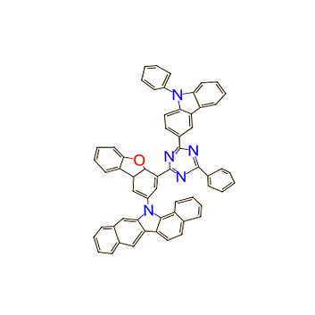 C1=C(c2nc(-c3ccccc3)nc(-c3ccc4c(c3)c3ccccc3n4-c3ccccc3)n2)C2Oc3ccccc3C2C=C1n1c2cc3ccccc3cc2c2ccc3ccccc3c21